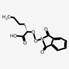 CCCC[C@H](OON1C(=O)c2ccccc2C1=O)C(=O)O